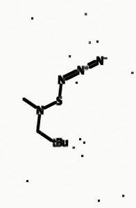 CN(CC(C)(C)C)SN=[N+]=[N-]